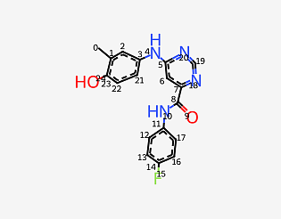 Cc1cc(Nc2cc(C(=O)Nc3ccc(F)cc3)ncn2)ccc1O